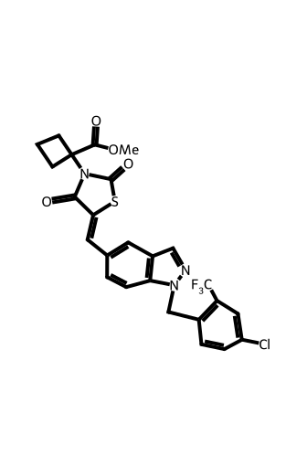 COC(=O)C1(N2C(=O)SC(=Cc3ccc4c(cnn4Cc4ccc(Cl)cc4C(F)(F)F)c3)C2=O)CCC1